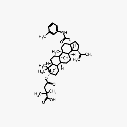 C=C(C)[C@@H]1CC[C@]2(CC(=O)Nc3cccc(C)c3)CC[C@]3(C)[C@H](CC[C@@H]4[C@@]5(C)CC[C@H](OC(=O)CC(C)(C)C(=O)O)C(C)(C)[C@@H]5CC[C@]43C)[C@@H]12